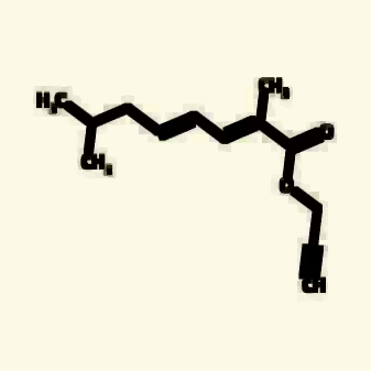 C#CCOC(=O)C(C)=CC=CCC(C)C